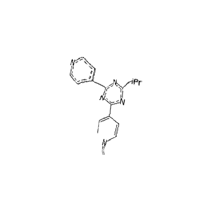 C=N/C=C\C(=C/C)c1nc(-c2ccncc2)nc(C(C)C)n1